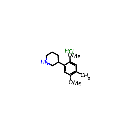 COc1cc(C2CCCNC2)c(OC)cc1C.Cl